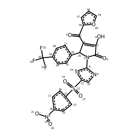 O=C(C1=C(O)C(=O)N(c2ncc(S(=O)(=O)c3ccc([N+](=O)[O-])cc3)s2)C1c1ccc(C(F)(F)F)cc1)c1ccco1